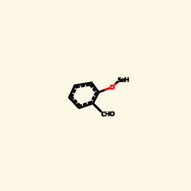 O=Cc1ccccc1O[SeH]